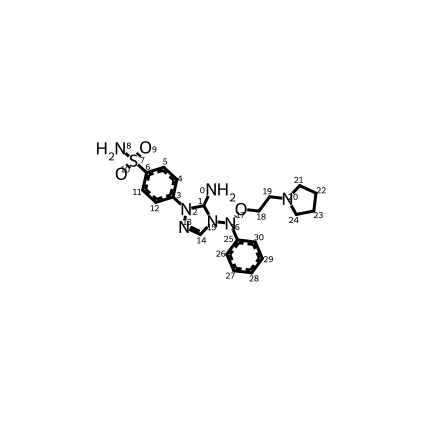 NC1N(c2ccc(S(N)(=O)=O)cc2)N=CN1N(OCCN1CCCC1)c1ccccc1